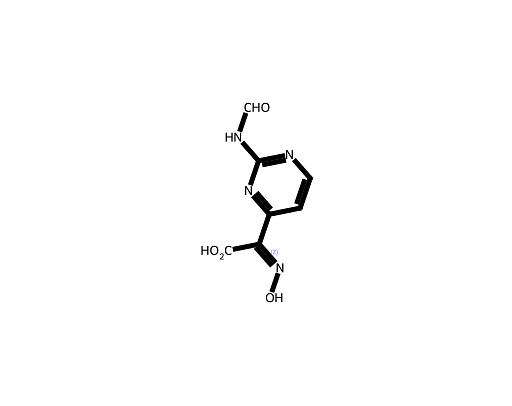 O=CNc1nccc(/C(=N/O)C(=O)O)n1